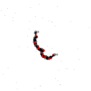 CC(C)(O)C#Cc1ccc(Oc2ccc(S(=O)(=O)c3ccc(Oc4ccc(Oc5ccccc5S(=O)(=O)c5ccc(Oc6cccc(Oc7ccc(S(=O)(=O)c8ccc(Oc9cccc(C#CC(C)(C)O)c9)cc8)cc7)c6)cc5)cc4)cc3)cc2)cc1